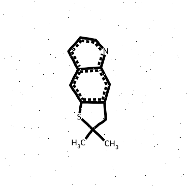 CC1(C)Cc2cc3ncccc3cc2S1